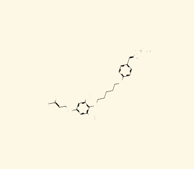 CC(C)CO/N=C/c1ccc(OCCCCCOc2c(Cl)cc(OCC=C(Cl)Cl)cc2Cl)cc1